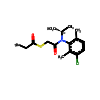 Cc1ccc(Cl)c(C)c1N(C(=O)CSC(=O)CC(C)(C)C)[C@@H](C)C(=O)O